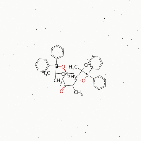 CC1C(=O)C[C@@H](O[Si](c2ccccc2)(c2ccccc2)C(C)(C)C)C[C@@H]1O[Si](c1ccccc1)(c1ccccc1)C(C)(C)C